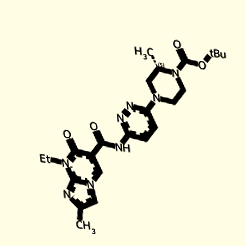 CCn1c(=O)c(C(=O)Nc2ccc(N3CCN(C(=O)OC(C)(C)C)[C@@H](C)C3)nn2)cn2cc(C)nc12